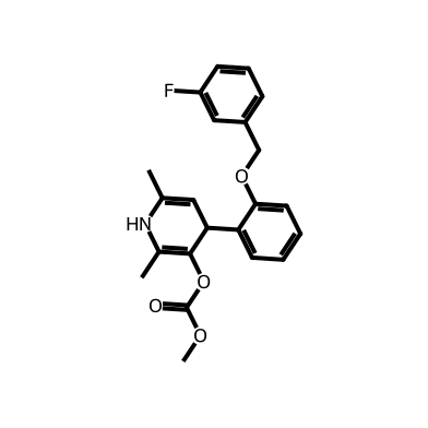 COC(=O)OC1=C(C)NC(C)=CC1c1ccccc1OCc1cccc(F)c1